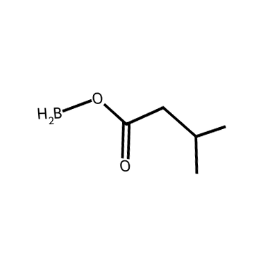 BOC(=O)CC(C)C